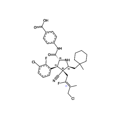 C/C(CCl)=C(/F)C[C@]1(C#N)[C@H](CC2(C)CCCCC2)N[C@@H](C(=O)Nc2ccc(C(=O)O)cc2)[C@@H]1c1cccc(Cl)c1F